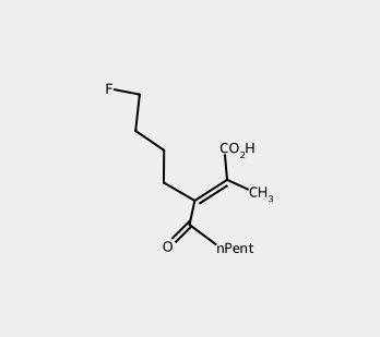 CCCCCC(=O)C(CCCCF)=C(C)C(=O)O